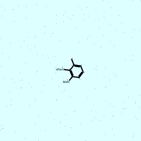 CCCCCc1c(C)cccc1NC